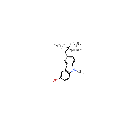 CCOC(=O)C(Cc1ccc2c(c1)c1cc(Br)ccc1n2C)(NC(C)=O)C(=O)OCC